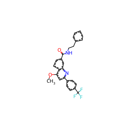 COc1cc(-c2ccc(C(F)(F)F)cc2)nc2cc(C(=O)NCCc3ccccc3)ccc12